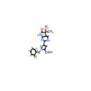 COc1cc(-c2ncc3c(n2)NC(=O)C3(C)C)nn1Cc1ccccc1Cl